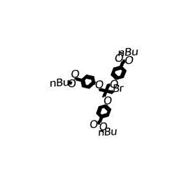 CCCCOC(=O)c1ccc(OCC(CBr)(COc2ccc(C(=O)OCCCC)cc2)COc2ccc(C(=O)OCCCC)cc2)cc1